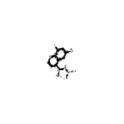 C[C@H](N[S@@+]([O-])C(C)(C)C)c1ccnc2c(F)cc(Cl)cc12